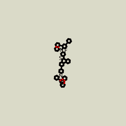 Fc1cc(-c2ccccc2)cc(-c2ccccc2)c1N(c1ccccc1)c1ccc2c(c1)sc1c3ccc(-c4ccc(N(c5ccccc5-c5ccccc5)c5cccc6c5oc5ccccc56)cc4)cc3c3ccccc3c21